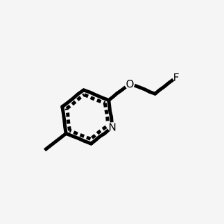 Cc1ccc(OCF)nc1